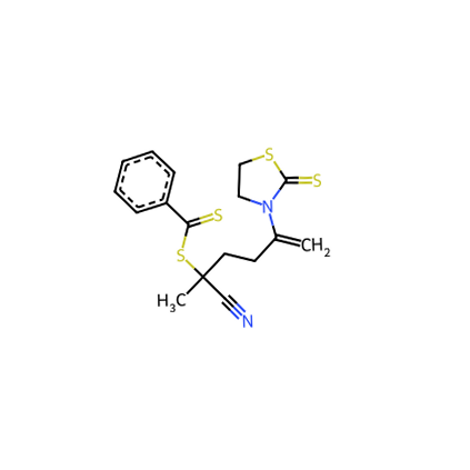 C=C(CCC(C)(C#N)SC(=S)c1ccccc1)N1CCSC1=S